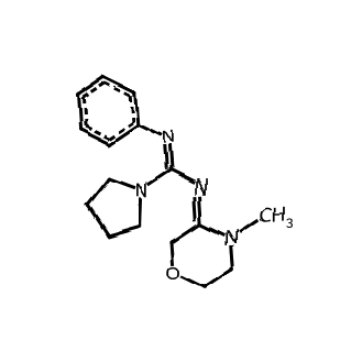 CN1CCOC/C1=N\C(=N\c1ccccc1)N1CCCC1